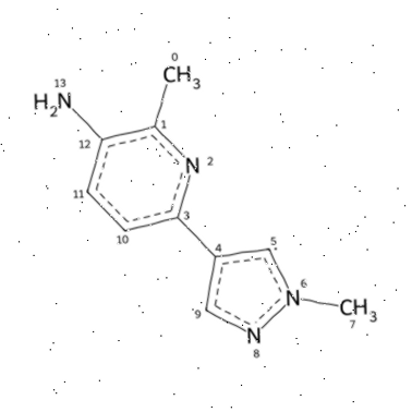 Cc1nc(-c2[c]n(C)nc2)ccc1N